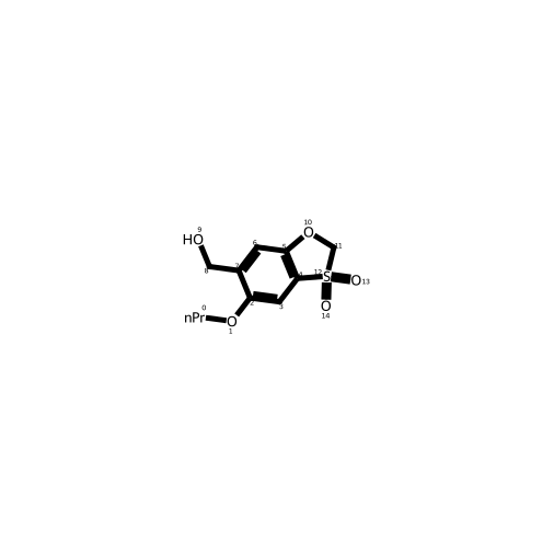 CCCOc1cc2c(cc1CO)OCS2(=O)=O